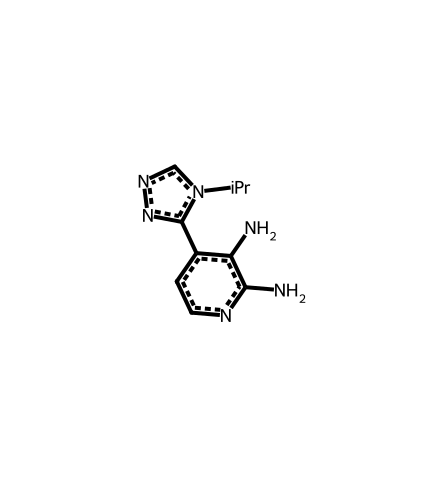 CC(C)n1cnnc1-c1ccnc(N)c1N